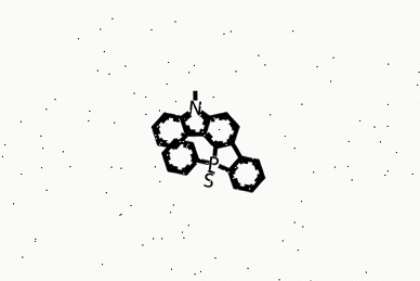 Cn1c2ccccc2c2c3c(ccc21)-c1ccccc1P3(=S)c1ccccc1